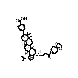 C=C(C)[C@@H]1CC[C@]2(CNCCC(=O)N3CCC4(CC3)OCCO4)CC[C@]3(C)[C@H](CC[C@@H]4[C@@]5(C)CC=C(c6ccc(C(=O)O)cc6)C(C)(C)[C@@H]5CC[C@]43C)[C@@H]12